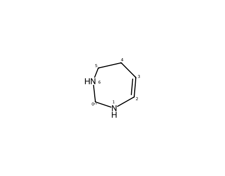 [C]1NC=CCCN1